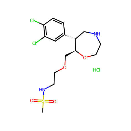 CS(=O)(=O)NCCOC[C@@H]1OCCNC[C@H]1c1ccc(Cl)c(Cl)c1.Cl